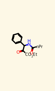 CCCC(=O)NC(C(=O)C(=O)OCC)c1ccccc1